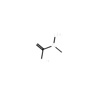 CCCCCC(=O)N(C)CCCC